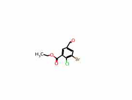 CCOC(=O)c1cc(C=O)cc(Br)c1Cl